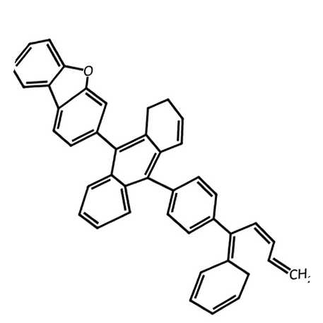 C=C/C=C\C(=C1\C=CC=CC1)c1ccc(-c2c3c(c(-c4ccc5c(c4)oc4ccccc45)c4ccccc24)CCC=C3)cc1